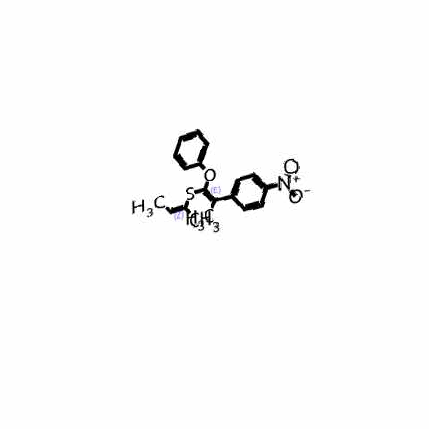 C/C=C(/C)S/C(Oc1ccccc1)=C(\C)c1ccc([N+](=O)[O-])cc1